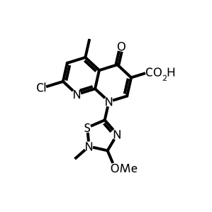 COC1N=C(n2cc(C(=O)O)c(=O)c3c(C)cc(Cl)nc32)SN1C